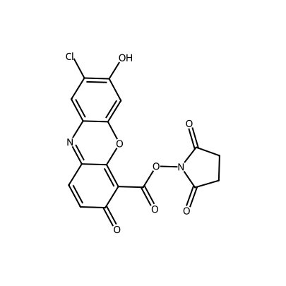 O=C(ON1C(=O)CCC1=O)c1c2oc3cc(O)c(Cl)cc3nc-2ccc1=O